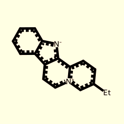 CCc1ccc2c3[n-]c4ccccc4c3cc[n+]2c1